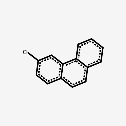 Clc1ccc2ccc3ccccc3c2c1